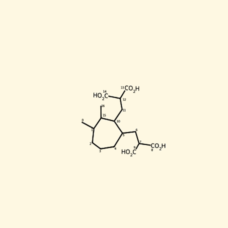 CC1CCCC(CC(C(=O)O)C(=O)O)C(CC(C(=O)O)C(=O)O)C1C